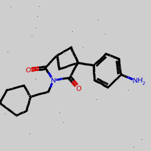 Nc1ccc(C23CC(C2)C(=O)N(CC2CCCCC2)C3=O)cc1